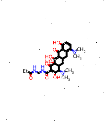 CCC(=O)NCNC(=O)C1=C(O)C(N(C)C)C2CC3Cc4c(N(C)C)ccc(O)c4C(=O)C3=C(O)C2(O)C1=O